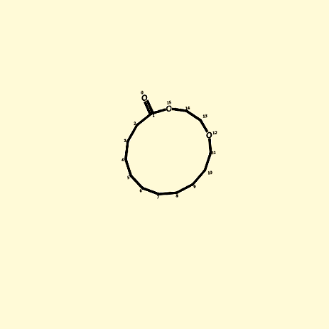 O=C1CCCCCCCCCCOCCO1